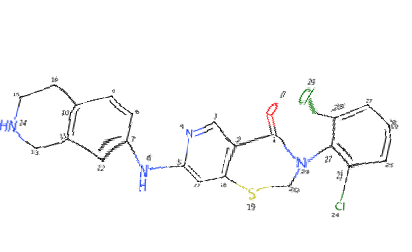 O=C1c2cnc(Nc3ccc4c(c3)CNCC4)cc2SCN1c1c(Cl)cccc1Cl